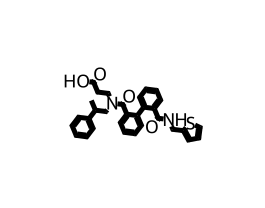 CC(CN(CCC(=O)O)C(=O)c1ccccc1-c1ccccc1C(=O)NCc1cccs1)c1ccccc1